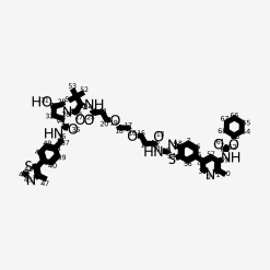 Cc1ncc(-c2ccc3nc(NC(=O)CCOCCOCCC(=O)N[C@H](C(=O)N4C[C@H](O)C[C@H]4C(=O)NCc4ccc(-c5scnc5C)cc4)C(C)(C)C)sc3c2)cc1NC(=O)OC1CCCCC1